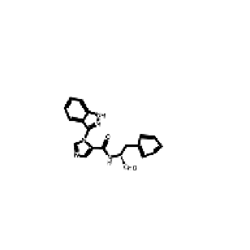 O=C[C@H](Cc1ccccc1)NC(=O)c1cncn1-c1n[nH]c2ccccc12